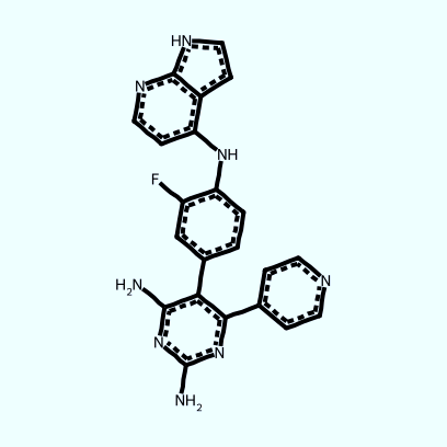 Nc1nc(N)c(-c2ccc(Nc3ccnc4[nH]ccc34)c(F)c2)c(-c2ccncc2)n1